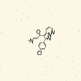 CN(C)C=CC(=O)c1c(-c2ccc(Cl)cc2)nn2ncccc12